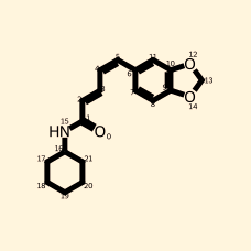 O=C(/C=C/C=C\c1ccc2c(c1)OCO2)NC1CCCCC1